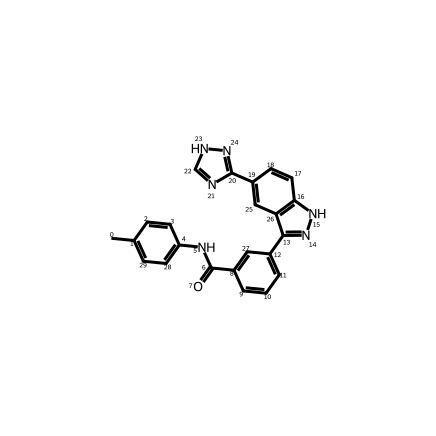 Cc1ccc(NC(=O)c2cccc(-c3n[nH]c4ccc(-c5nc[nH]n5)cc34)c2)cc1